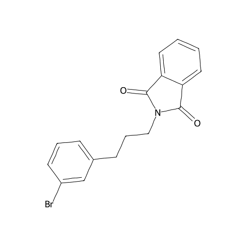 O=C1c2ccccc2C(=O)N1CCCc1cccc(Br)c1